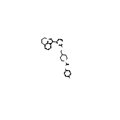 CCOC(=O)c1ccc(NC(=O)N2CCC(CNc3nccc(-c4cn5c6c(cccc46)CCC5)n3)CC2)cc1